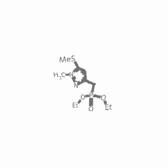 CCOP(=O)(Cc1cc(SC)n(C)n1)OCC